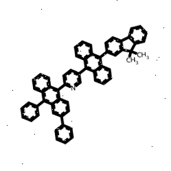 CC1(C)c2ccccc2-c2ccc(-c3c4ccccc4c(-c4ccc(-c5c6ccccc6c(-c6ccccc6)c6cc(-c7ccccc7)ccc56)nc4)c4ccccc34)cc21